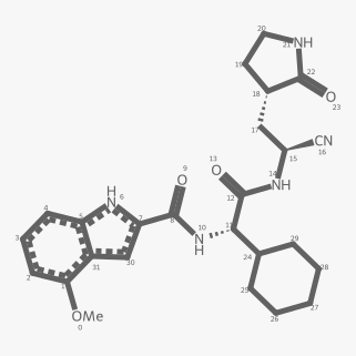 COc1cccc2[nH]c(C(=O)N[C@H](C(=O)N[C@H](C#N)C[C@@H]3CCNC3=O)C3CCCCC3)cc12